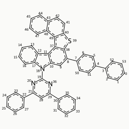 c1ccc(-c2ccc(-c3cc4c(c5ccccc5n4-c4nc(-c5ccccc5)cc(-c5ccccc5)n4)c4c3sc3ccc5ccccc5c34)cc2)cc1